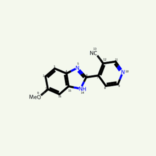 COc1ccc2nc(-c3ccncc3C#N)[nH]c2c1